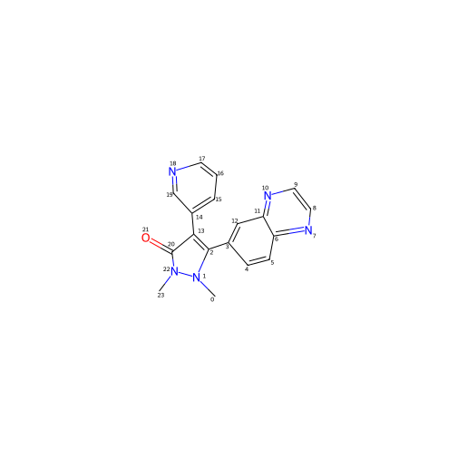 Cn1c(-c2ccc3nccnc3c2)c(-c2cccnc2)c(=O)n1C